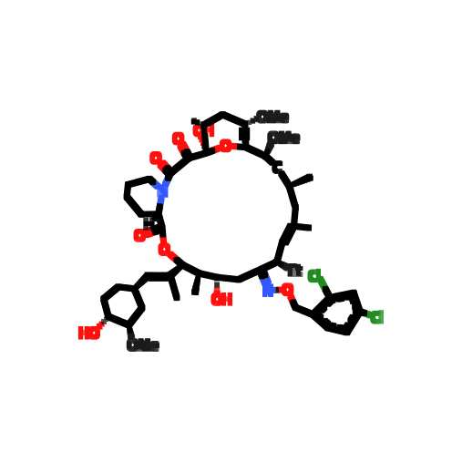 CC[C@@H]1/C=C(\C)C[C@H](C)C[C@H](OC)[C@H]2O[C@@](O)(C(=O)C(=O)N3CCCC[C@H]3C(=O)O[C@H](/C(C)=C/[C@@H]3CC[C@@H](O)[C@H](OC)C3)[C@H](C)[C@@H](O)C/C1=N/OCc1ccc(Cl)cc1Cl)[C@H](C)C[C@@H]2OC